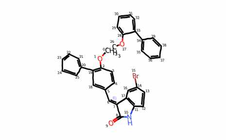 COc1ccc(/C=C2/C(=O)Nc3ccc(Br)cc32)cc1-c1ccccc1.COc1ccccc1-c1ccccc1